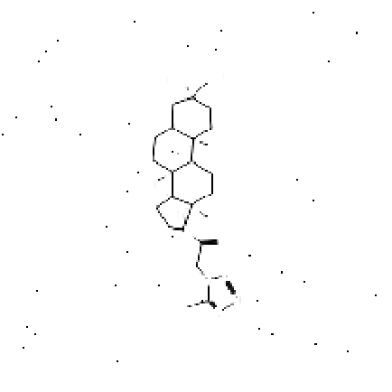 CC[C@]12CC[C@@](C)(O)C[C@@H]1CC[C@H]1[C@@H]3CC[C@H](C(=O)Cn4nnnc4C)[C@@]3(C)CC[C@@H]12